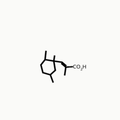 CC(=CC1(C)CC(C)CCC1C)C(=O)O